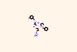 CCn1nnc([C@H]2O[C@@H](n3cnc4c(NCc5cccc(I)c5)nc(NC5CCN(Cc6ccccc6)C5)nc43)[C@H](O)[C@@H]2O)n1